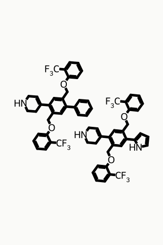 FC(F)(F)c1ccccc1OCc1cc(-c2ccc[nH]2)c(COc2ccccc2C(F)(F)F)cc1C1=CCNCC1.FC(F)(F)c1ccccc1OCc1cc(-c2ccccc2)c(COc2ccccc2C(F)(F)F)cc1C1=CCNCC1